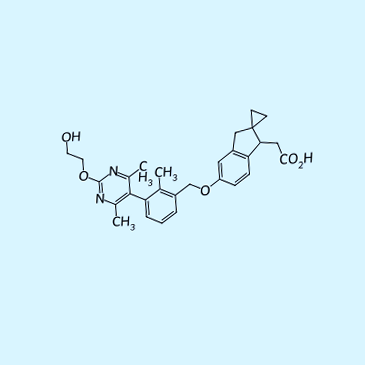 Cc1nc(OCCO)nc(C)c1-c1cccc(COc2ccc3c(c2)CC2(CC2)C3CC(=O)O)c1C